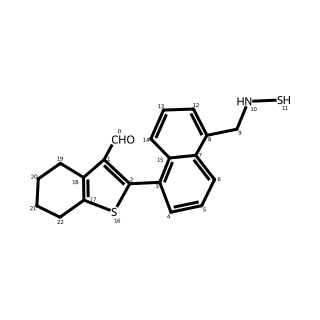 O=Cc1c(-c2cccc3c(CNS)cccc23)sc2c1CCCC2